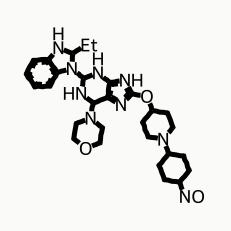 CCC1Nc2ccccc2N1C1Nc2[nH]c(OC3CCN(C4CCC(N=O)CC4)CC3)nc2C(N2CCOCC2)N1